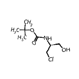 CC(C)(C)OC(=O)N[C@@H](CO)CCl